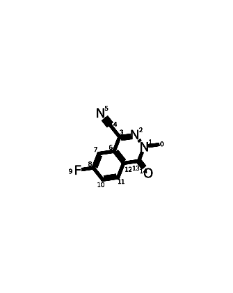 Cn1nc(C#N)c2cc(F)ccc2c1=O